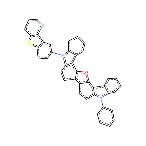 c1ccc(-n2c3ccccc3c3c4oc5c(ccc6c5c5ccccc5n6-c5ccc6sc7cccnc7c6c5)c4ccc32)cc1